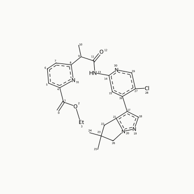 C=C(OCC)c1cccc(C(C)C(=O)Nc2cc(-c3cnn4c3CC(C)(C)C4)c(Cl)cn2)n1